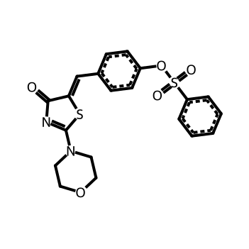 O=C1N=C(N2CCOCC2)SC1=Cc1ccc(OS(=O)(=O)c2ccccc2)cc1